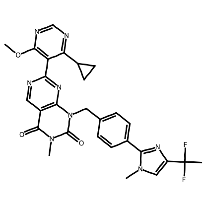 COc1ncnc(C2CC2)c1-c1ncc2c(=O)n(C)c(=O)n(Cc3ccc(-c4nc(C(C)(F)F)cn4C)cc3)c2n1